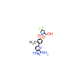 Cc1cc(S(=O)(=O)N2CC(F)(F)C[C@H]2CO)ccc1-c1ccc2[nH]nc(N)c2n1